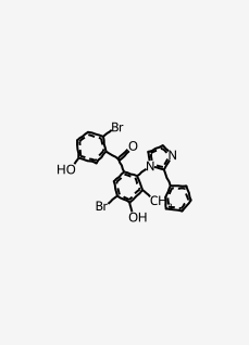 Cc1c(O)c(Br)cc(C(=O)c2cc(O)ccc2Br)c1-n1ccnc1-c1ccccc1